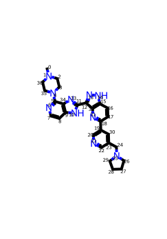 CN1CCN(c2nccc3[nH]c(-c4n[nH]c5ccc(-c6cncc(CN7CCCC7)c6)nc45)nc23)CC1